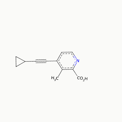 Cc1c(C#CC2CC2)ccnc1C(=O)O